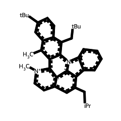 Cc1c2cc(C(C)(C)C)ccc2c(CC(C)(C)C)c2c1c1c3c(cc[n+]1C)cc(CC(C)C)c1c4ccccc4n2c13